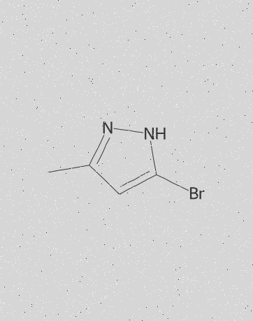 Cc1cc(Br)[nH]n1